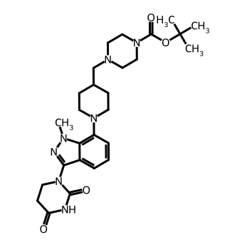 Cn1nc(N2CCC(=O)NC2=O)c2cccc(N3CCC(CN4CCN(C(=O)OC(C)(C)C)CC4)CC3)c21